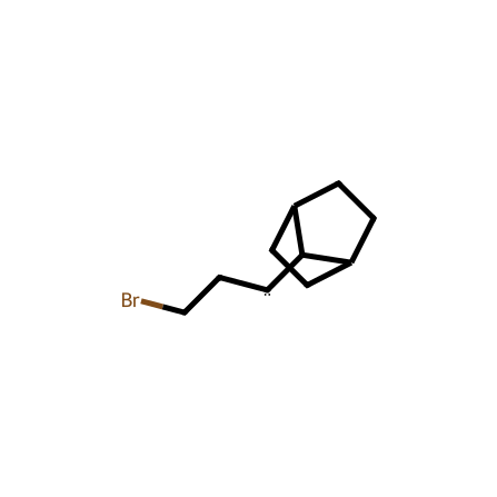 BrCC[C]C1C2CCC1CC2